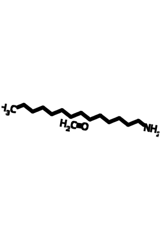 C=O.CCCCCCCCCCCCCCN